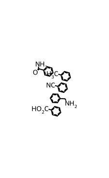 Cc1ccccc1.N#Cc1ccccc1.NC(=O)c1ccccc1.NCc1ccccc1.O=C(O)c1ccccc1